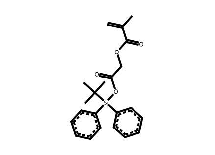 C=C(C)C(=O)OCC(=O)O[Si](c1ccccc1)(c1ccccc1)C(C)(C)C